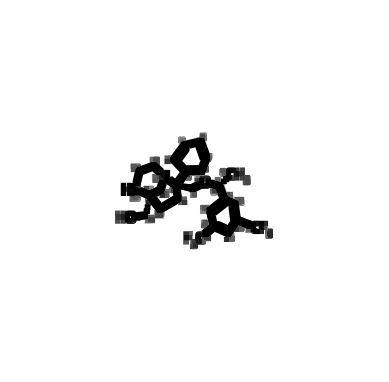 C[C@@H](OC[C@@]1(c2ccccc2)CC[C@]2(CO)CN1CCN2)c1cc(C(F)(F)F)cc(C(F)(F)F)c1